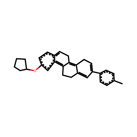 Cc1ccc(C2=CCC3=C4CC=c5ccc(OC6CCCC6)cc5=C4CCC3=C2)cc1